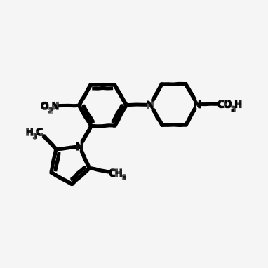 Cc1ccc(C)n1-c1cc(N2CCN(C(=O)O)CC2)ccc1[N+](=O)[O-]